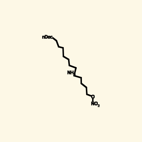 CCCCCCCCCCCCCCCCCCCCCCO[N+](=O)[O-].N